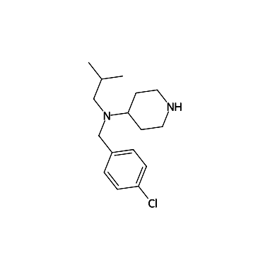 CC(C)CN(Cc1ccc(Cl)cc1)C1CCNCC1